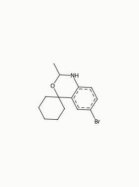 CC1Nc2ccc(Br)cc2C2(CCCCC2)O1